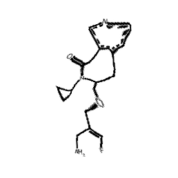 NCC(=CF)COC1Cc2ccncc2C(=O)N1C1CC1